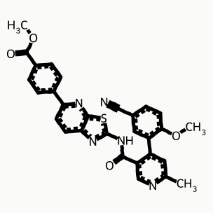 COC(=O)c1ccc(-c2ccc3nc(NC(=O)c4cnc(C)cc4-c4cc(C#N)ccc4OC)sc3n2)cc1